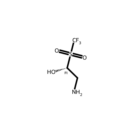 NC[C@H](O)S(=O)(=O)C(F)(F)F